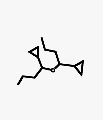 CCCC(OC(CCC)C1CC1)C1CC1